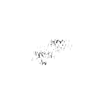 CCCOC(OCCC)=C(C(=O)Oc1c(OCCC)c(OCCC)c(C(C)(C)c2c(OCCC)c(OCCC)c(OC(=O)C(=C(OCCC)OCCC)C(OCCC)(OCCC)OCCC)c(OCCC)c2OCCC)c(OCCC)c1OCCC)C(OCCC)(OCCC)OCCC